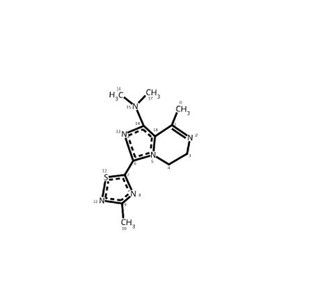 CC1=NCCn2c(-c3nc(C)ns3)nc(N(C)C)c21